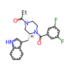 CCC(=O)N1CCN(C(=O)c2cc(F)cc(F)c2)[C@H](Cc2c[nH]c3ccccc23)C1